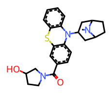 CN1C2CCC1CC(N1c3ccccc3Sc3cc(C(=O)N4CCC(O)C4)ccc31)C2